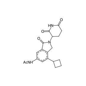 CC(=O)Nc1cc2c(c(C3CCC3)c1)CN(C1CCC(=O)NC1=O)C2=O